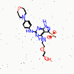 CS(=O)(=O)c1n[nH]c2nc(Nc3ccc(N4CCOCC4)cc3)nc(NCCOCCO)c12